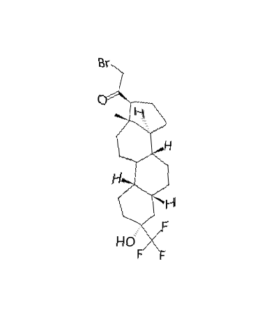 C[C@]12CCC3[C@H]4CC[C@](O)(C(F)(F)F)C[C@H]4CC[C@H]3[C@@H]1CC[C@@H]2C(=O)CBr